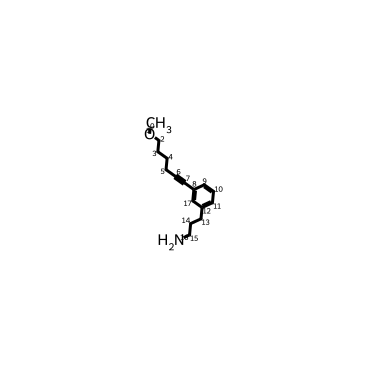 COCCCCC#Cc1cccc(CCCN)c1